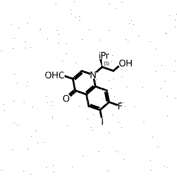 CC(C)[C@@H](CO)n1cc(C=O)c(=O)c2cc(I)c(F)cc21